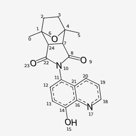 CC12CCC(C)(O1)C1C(=O)N(c3ccc(O)c4ncccc34)C(=O)C12